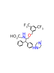 CN1CCNCC1.O=C(O)CNC(COCc1cc(C(F)(F)F)cc(C(F)(F)F)c1)C(c1ccccc1)c1ccccc1